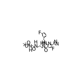 Cn1cc(-c2nc(NCCc3cccc(F)c3)c(C(=O)NCCCNC(=O)CNC(=O)OC(C)(C)C)cc2F)cn1